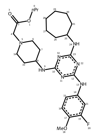 CCCOC(=O)CN1CCC(Nc2nc(Nc3ccc(OC)c(F)c3)nc(NC3CCCCCC3)n2)CC1